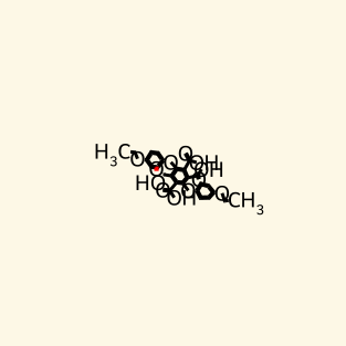 CCOc1ccc(Oc2c(C(=O)O)c(C(=O)O)c(Oc3ccc(OCC)cc3)c(C(=O)O)c2C(=O)O)cc1